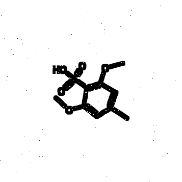 COc1cc(C)cc(OC)c1S(=O)(=O)O